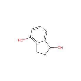 Oc1cccc2c1CCC2O